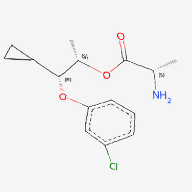 C[C@H](N)C(=O)O[C@@H](C)[C@H](Oc1cccc(Cl)c1)C1CC1